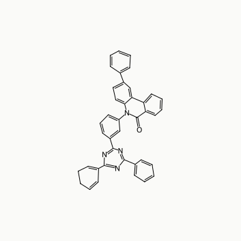 O=c1c2ccccc2c2cc(-c3ccccc3)ccc2n1-c1cccc(-c2nc(C3=CCCC=C3)nc(-c3ccccc3)n2)c1